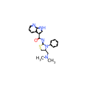 CN(C)CC1CS/C(=N\C(=O)c2c[nH]c3ncccc23)N1c1ccccc1